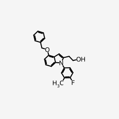 Cc1cc(-n2c(CCO)cc3c(OCc4ccccc4)cccc32)ccc1F